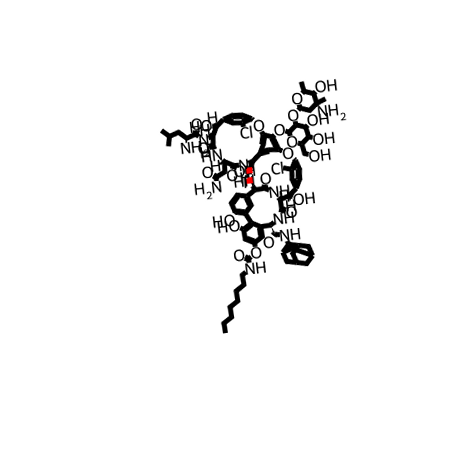 CCCCCCCCNC(=O)Oc1cc(O)c2c(c1)[C@@H](C(=O)NC1C3CC4CC(C3)CC1C4)NC(=O)[C@H]1NC(=O)[C@H](NC(=O)[C@@H]3NC(=O)[C@H](CC(N)=O)NC(=O)[C@H](NC(=O)[C@H](N)CC(C)C)[C@H](O)c4ccc(c(Cl)c4)Oc4cc3cc(c4OC3OC(CO)C(O)C(O)C3OC3CC(C)(N)C(O)C(C)O3)Oc3ccc(cc3Cl)[C@H]1O)c1ccc(O)c-2c1